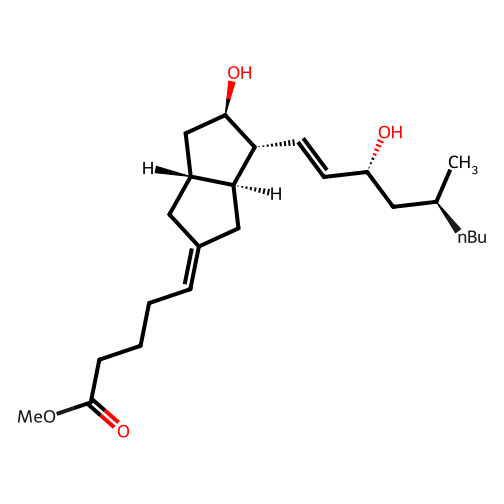 CCCC[C@H](C)C[C@@H](O)C=C[C@@H]1[C@H]2CC(=CCCCC(=O)OC)C[C@@H]2C[C@H]1O